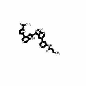 CCCC(=O)Nc1cncc(-c2cnc3[nH]nc(-c4cc5c(-c6ccc(C(C)=O)s6)cncc5[nH]4)c3c2)c1